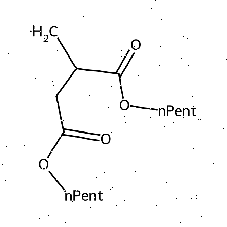 [CH2]C(CC(=O)OCCCCC)C(=O)OCCCCC